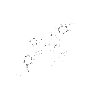 COc1ccc(CN(C(=O)O)c2cc(C[C@@H]3C(=O)N(C(=O)N[C@@H](C4CCCCC4)C(F)(F)F)[C@@H]3C(=O)N(C)c3ccc(OC)cc3)ccn2)cc1